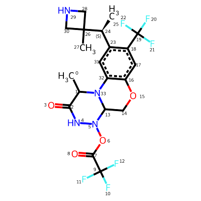 CC1C(=O)NN(OC(=O)C(F)(F)F)C2COc3cc(C(F)(F)F)c([C@H](C)C4(C)CNC4)cc3N12